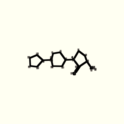 NC1CCN(C2CCN(C3CCCC3)CC2)C1=O